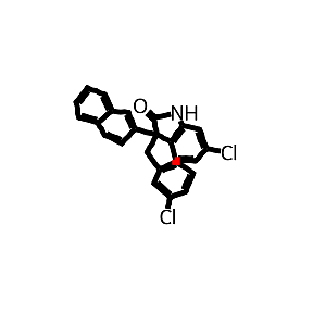 O=C1Nc2cc(Cl)ccc2C1(Cc1cccc(Cl)c1)c1ccc2ccccc2c1